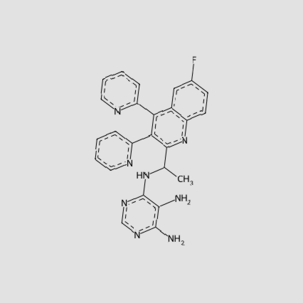 CC(Nc1ncnc(N)c1N)c1nc2ccc(F)cc2c(-c2ccccn2)c1-c1ccccn1